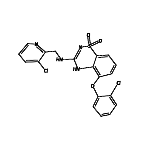 O=S1(=O)N=C(NCc2ncccc2Cl)Nc2c(Oc3ccccc3Cl)cccc21